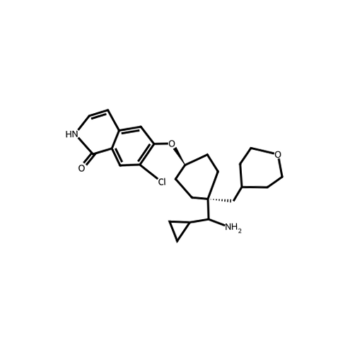 NC(C1CC1)[C@]1(CC2CCOCC2)CC[C@H](Oc2cc3cc[nH]c(=O)c3cc2Cl)CC1